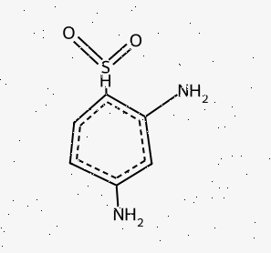 Nc1ccc([SH](=O)=O)c(N)c1